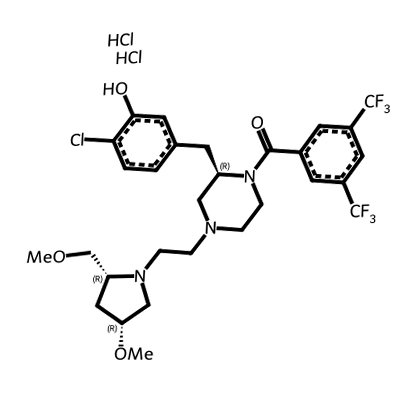 COC[C@H]1C[C@@H](OC)CN1CCN1CCN(C(=O)c2cc(C(F)(F)F)cc(C(F)(F)F)c2)[C@H](Cc2ccc(Cl)c(O)c2)C1.Cl.Cl